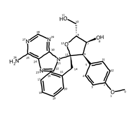 COc1ccc([C@@H]2[C@H](O)[C@@H](CO)O[C@@]2(Cc2ccccc2)n2cnc3c(N)ncnc32)cc1